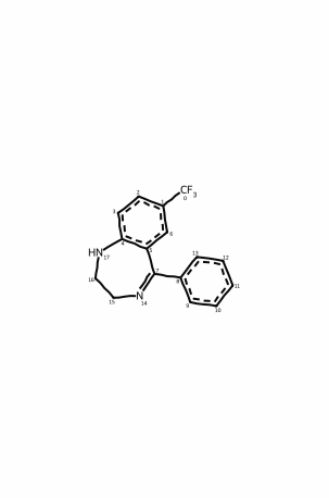 FC(F)(F)c1ccc2c(c1)C(c1ccccc1)=NCCN2